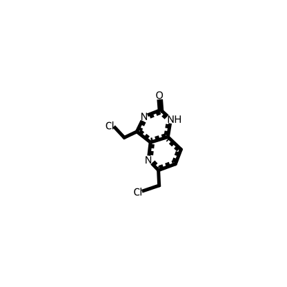 O=c1nc(CCl)c2nc(CCl)ccc2[nH]1